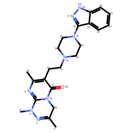 CC1=NN(C)c2nc(C)c(CCN3CCN(c4n[nH]c5ccccc45)CC3)c(=O)n2C1